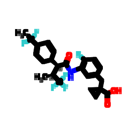 C[C@H]([C@H](C(=O)Nc1cc(CC2(C(=O)O)CC2)ccc1F)C1C=CC(C(C)(F)F)=CC1)C(F)(F)F